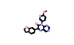 COc1ccc(-n2c(=O)c(C3=CC4OCCC4C=C3)nc3cncnc32)cn1